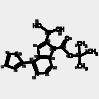 CC(C)(C)OC(=O)n1c(B(O)O)cc2c(-c3cccs3)nccc21